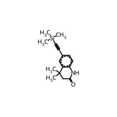 CC1(C)CC(=O)Nc2ccc(C#C[Si](C)(C)C)cc21